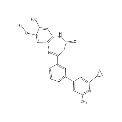 CCOc1cc2c(cc1C(F)(F)F)NC(=O)CC(c1cccc(-c3cc(C)nc(C4CC4)c3)c1)=N2